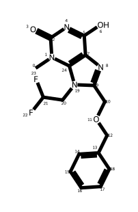 Cn1c(=O)nc(O)c2nc(COCc3ccccc3)n(CC(F)F)c21